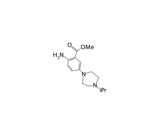 COC(=O)c1cc(N2CCN(C(C)C)CC2)ccc1N